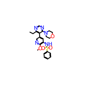 CCc1ncnc(N2CCOCC2)c1-c1cnc(OC)c(NS(=O)(=O)c2ccccc2)c1